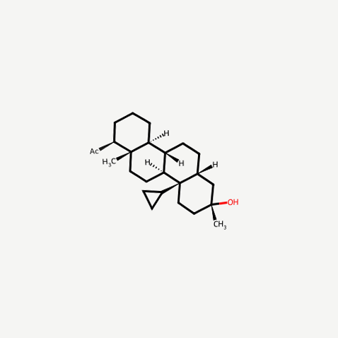 CC(=O)[C@H]1CCC[C@H]2[C@@H]3CC[C@@H]4C[C@](C)(O)CC[C@]4(C4CC4)[C@H]3CC[C@]12C